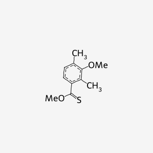 COC(=S)c1ccc(C)c(OC)c1C